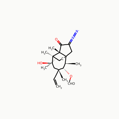 C=C[C@]1(C)C[C@@H](O)[C@]2(C)[C@H](C)CC[C@]3(CC(=[N+]=[N-])C(=O)[C@]32C)[C@@H](C)[C@@H]1OC=O